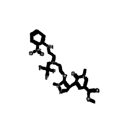 COC(=O)c1cc(-c2cnn(C)c2OCCN(CCNc2ccccc2[N+](=O)[O-])CC(F)(F)F)c(=O)n(C)c1